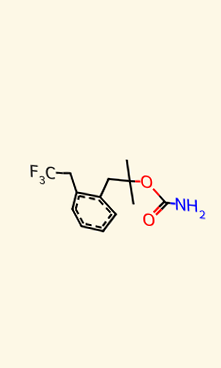 CC(C)(Cc1ccccc1CC(F)(F)F)OC(N)=O